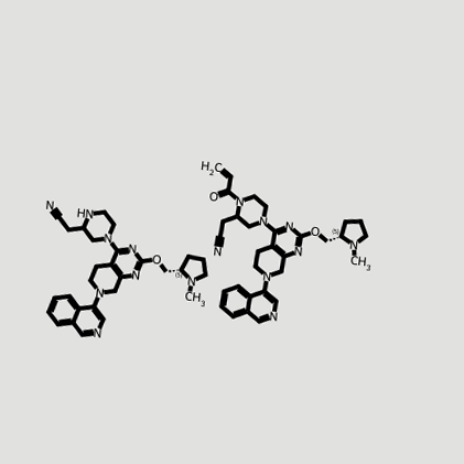 C=CC(=O)N1CCN(c2nc(OC[C@@H]3CCCN3C)nc3c2CCN(c2cncc4ccccc24)C3)CC1CC#N.CN1CCC[C@H]1COc1nc2c(c(N3CCNC(CC#N)C3)n1)CCN(c1cncc3ccccc13)C2